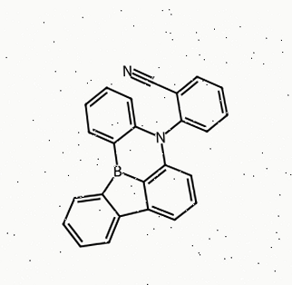 N#Cc1ccccc1N1c2ccccc2B2c3ccccc3-c3cccc1c32